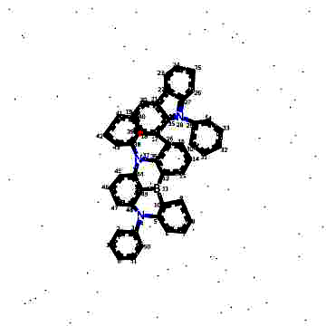 c1ccc(N2c3ccccc3B3c4cccc(-c5cccc6c7ccccc7n(-c7ccccc7)c56)c4N(c4ccccc4)c4cccc2c43)cc1